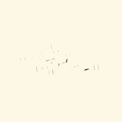 C=CCOC(=O)[C@@H](O)[C@H](O)[C@H](O)[C@@H](O)C=O